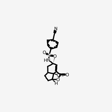 C[C@]1(NS(=O)(=O)c2ccc(C#N)cc2)C=C2C(=O)O[C@@H]3CCC(C1)[C@]23O